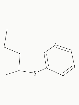 CCCC(C)Sc1c[c]ccc1